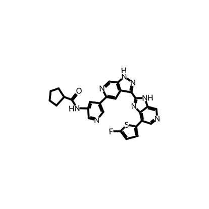 O=C(Nc1cncc(-c2cc3c(-c4nc5c(-c6ccc(F)s6)cncc5[nH]4)n[nH]c3cn2)c1)C1CCCC1